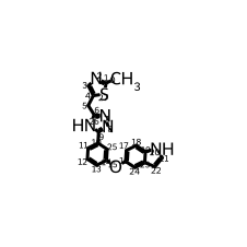 Cc1ncc(Cc2nnc(-c3cccc(Oc4ccc5[nH]ccc5c4)c3)[nH]2)s1